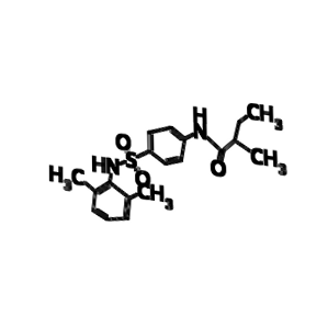 CCC(C)C(=O)Nc1ccc(S(=O)(=O)Nc2c(C)cccc2C)cc1